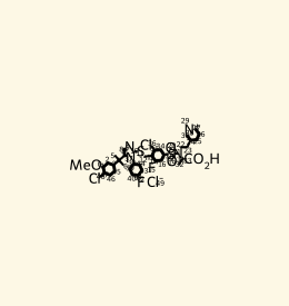 COc1cc(C(C)(C)c2cnc(SCc3c(F)cc(S(=O)(=O)N(CCc4ccc[n+](C)c4)C(C)C(=O)O)cc3Cl)n2-c2ccc(F)cc2)ccc1Cl.[Cl-]